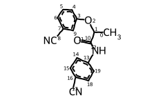 CC(Oc1cccc(C#N)c1)C(=O)Nc1ccc(C#N)cc1